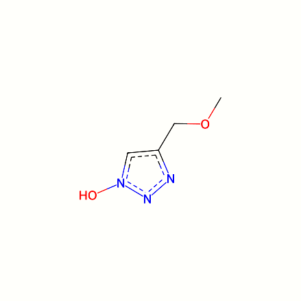 COCc1cn(O)nn1